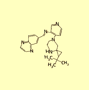 CC(C)(C)C1CC12CN(c1ccncc1/N=C/c1ccc3nccnc3c1)CCN2